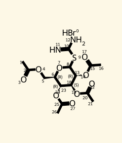 Br.CC(=O)OC[C@H]1OC(SC(=N)N)[C@H](OC(C)=O)[C@@H](OC(C)=O)[C@@H]1OC(C)=O